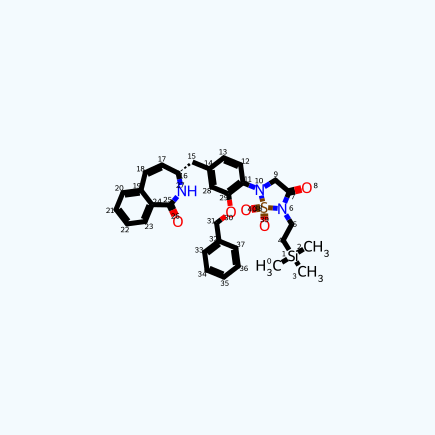 C[Si](C)(C)CCN1C(=O)CN(c2ccc(C[C@H]3C=Cc4ccccc4C(=O)N3)cc2OCc2ccccc2)S1(=O)=O